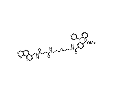 COC(=O)c1ccc(C(=O)NCCCOCCCNC(=O)CCC(=O)NCc2ccnc3c2ccc2cccnc23)cc1P(c1ccccc1)c1ccccc1